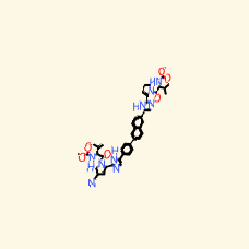 COC(=O)NC(C(=O)N1CCCC1c1ncc(-c2ccc3cc(-c4ccc(-c5cnc(C6CC(C#N)CN6C(=O)C(NC(=O)OC)C(C)C)[nH]5)cc4)ccc3c2)[nH]1)C(C)C